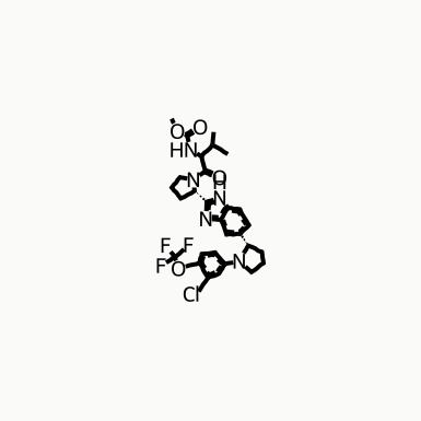 COC(=O)NC(C(=O)N1CCC[C@H]1c1nc2cc([C@@H]3CCCN3c3ccc(OC(F)(F)F)c(Cl)c3)ccc2[nH]1)C(C)C